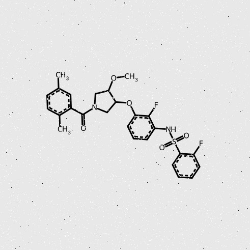 COC1CN(C(=O)c2cc(C)ccc2C)CC1Oc1cccc(NS(=O)(=O)c2ccccc2F)c1F